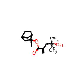 C=C(CC(O)(C(F)(F)F)C(F)(F)F)C(=O)OC1(C)CC2CCC1C2